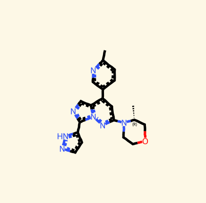 Cc1ccc(-c2cc(N3CCOC[C@H]3C)nn3c(-c4ccn[nH]4)ncc23)cn1